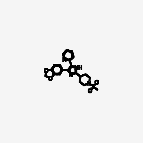 CS(=O)(=O)N1CCC(c2nc(-c3ccc4c(c3)OCO4)c(-c3ccccn3)[nH]2)CC1